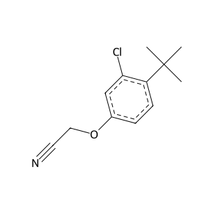 CC(C)(C)c1ccc(OCC#N)cc1Cl